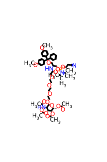 COc1ccc(C(OCC(COP(OCCC#N)N(C(C)C)C(C)C)NC(=O)COCCOCCOCCO[C@@H]2O[C@H](COC(C)=O)[C@H](OC(C)=O)[C@H](OC(C)=O)[C@H]2NC(C)=O)(c2ccccc2)c2ccc(OC)cc2)cc1